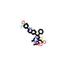 C=C(Cn1c(-c2ccc3nc(-c4ccc(OC)c(F)c4)ccc3c2)c(C2CCCCC2)c2sc(C(=O)O)cc21)N1CCCC1C